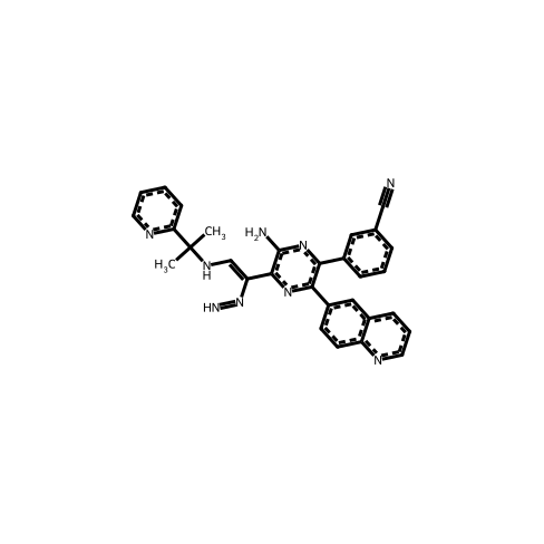 CC(C)(N/C=C(\N=N)c1nc(-c2ccc3ncccc3c2)c(-c2cccc(C#N)c2)nc1N)c1ccccn1